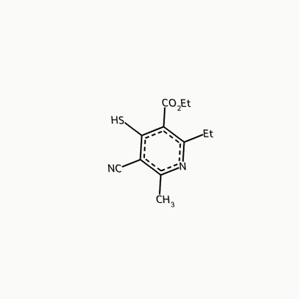 CCOC(=O)c1c(CC)nc(C)c(C#N)c1S